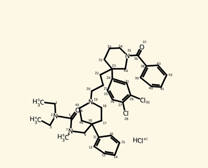 CCN(CC)C(=O)N(C)CC1(c2ccccc2)CCN(CCCC2(c3ccc(Cl)c(Cl)c3)CCCN(C(=O)c3ccccc3)C2)CC1.Cl